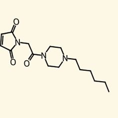 CCCCCCN1CCN(C(=O)CN2C(=O)C=CC2=O)CC1